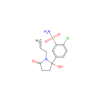 C=CCN1C(=O)CCC1(O)c1ccc(Cl)c(S(N)(=O)=O)c1